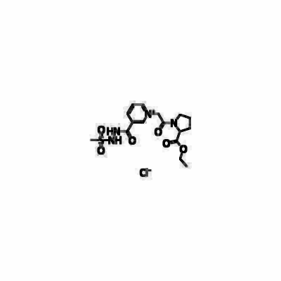 CCOC(=O)C1CCCN1C(=O)C[n+]1cccc(C(=O)NNS(C)(=O)=O)c1.[Cl-]